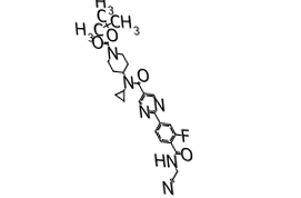 CC(C)(C)OC(=O)N1CCC(N(C(=O)c2cnc(-c3ccc(C(=O)NCC#N)c(F)c3)nc2)C2CC2)CC1